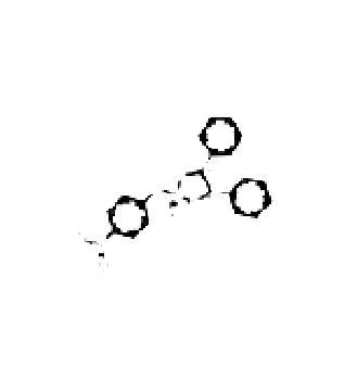 O=[N+]([O-])c1ccc(SP2(=S)S[C@H](c3ccccc3)[C@H](c3ccccc3)S2)cc1